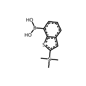 C[Si](C)(C)c1cc2cccc(B(O)O)c2s1